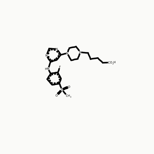 CS(=O)(=O)c1ccc(Nc2cc(N3CCN(CCCCC(=O)O)CC3)ncn2)c(F)c1